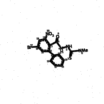 CNC(=S)NNC(=O)c1c(-c2ccccc2)cc(Br)cc1[N+](=O)[O-]